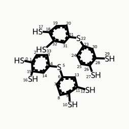 Sc1ccc(Sc2ccc(S)c(S)c2)cc1S.Sc1ccc(Sc2ccc(S)c(S)c2)cc1S